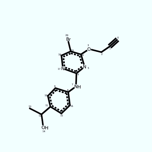 C#CCOc1nc(Nc2ccc(C(C)O)cc2)ncc1Br